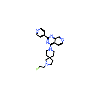 FCCN1CCC2(CCN(c3nc(-c4ccncc4)nc4cnccc34)CC2)C1